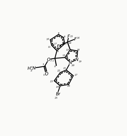 CC(OC(N)=O)(c1ccccc1)c1c(C(F)(F)F)cnn1-c1ccc(Br)cc1